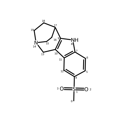 CS(=O)(=O)c1ccc2[nH]c3c(c2c1)CN1CCC3CC1